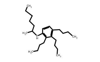 CCCCCC(C)Pc1ccc(CCCC)c(CCCC)c1CCCC